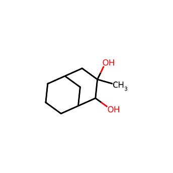 CC1(O)CC2CCCC(C2)C1O